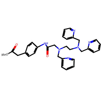 COC(=O)Cc1ccc(NC(=O)CN(CCN(Cc2ccccn2)Cc2ccccn2)Cc2ccccn2)cc1